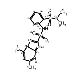 Cc1cc(C)n2nc(S(=O)(=O)Nc3ccccc3S(=O)(=O)N(C)C)nc2n1